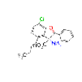 NC(C(=O)O)(C(=O)c1ccccc1)c1cc(Cl)ccc1CCCC(F)(F)F